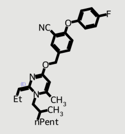 CC/C=C1/N=C(OCc2ccc(Oc3ccc(F)cc3)c(C#N)c2)C=C(C)N1CC(C)CCCCC